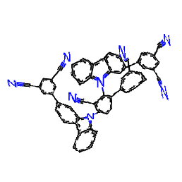 N#Cc1cc(C#N)cc(-c2ccc3c4ccccc4n(-c4ccc(-c5cccc(C#N)c5)c(-n5c6ccccc6c6ccc(-c7cc(C#N)cc(C#N)c7)cc65)c4C#N)c3c2)c1